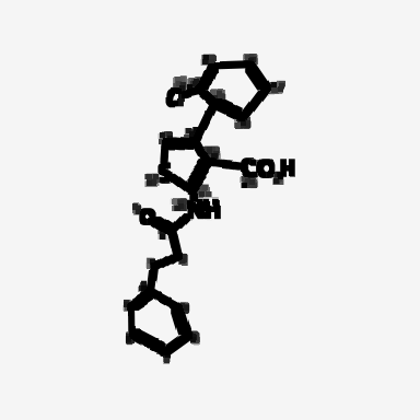 O=C(CCc1ccccc1)Nc1scc(-c2ccccc2Cl)c1C(=O)O